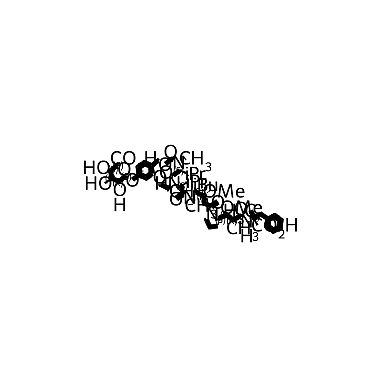 C#CCOc1cc(O[C@@H]2O[C@H](C(=O)O)[C@@H](O)[C@H](O)[C@H]2O)ccc1COC(=O)N(C)[C@H](C(=O)N[C@H](C(=O)N(C)[C@@H](C(C)CC)[C@@H](CC(=O)N1CCC[C@H]1[C@H](OC)[C@@H](C)C(=O)N[C@](C)(Cc1ccccc1)C(=O)O)OC)C(C)C)C(C)C